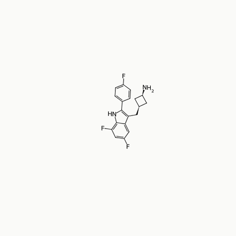 N[C@H]1C[C@@H](Cc2c(-c3ccc(F)cc3)[nH]c3c(F)cc(F)cc23)C1